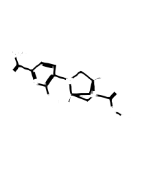 CNC(=O)c1ccc(N2C[C@H]3C[C@@H]2CN3C(=O)OC(C)(C)C)c(C)n1